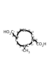 CN1CCCN(CC(=O)O)CCNCCCN(CC(=O)O)CC1